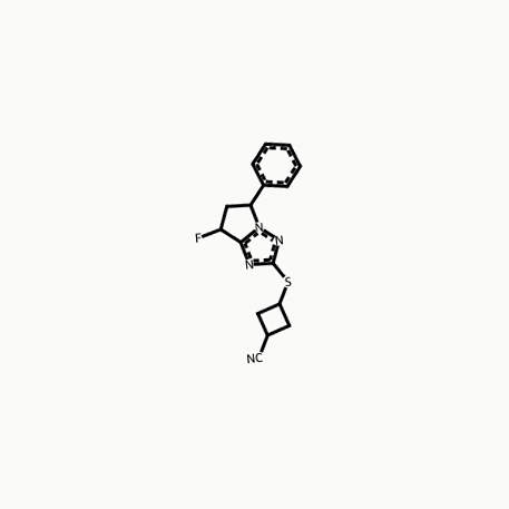 N#CC1CC(Sc2nc3n(n2)C(c2ccccc2)CC3F)C1